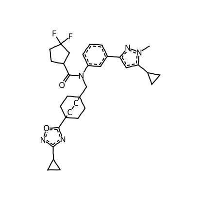 Cn1nc(-c2cccc(N(CC34CCC(c5nc(C6CC6)no5)(CC3)CC4)C(=O)C3CCC(F)(F)C3)c2)cc1C1CC1